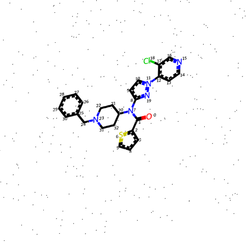 O=C(c1cccs1)N(c1ccn(-c2ccncc2Cl)n1)C1CCN(Cc2ccccc2)CC1